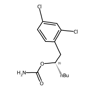 CCCC[C@@H](Cc1ccc(Cl)cc1Cl)OC(N)=O